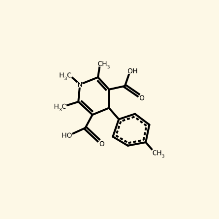 CC1=C(C(=O)O)C(c2ccc(C)cc2)C(C(=O)O)=C(C)N1C